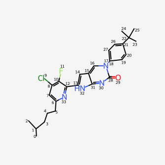 CC(C)CCCc1cc(Cl)c(F)c(-c2cc3cn(-c4ccc(C(C)(C)C)cc4)c(=O)nc3[nH]2)n1